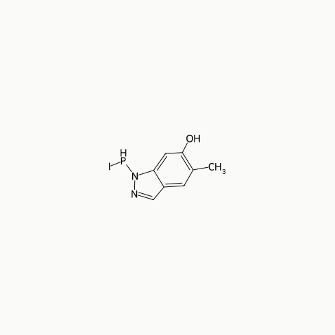 Cc1cc2cnn(PI)c2cc1O